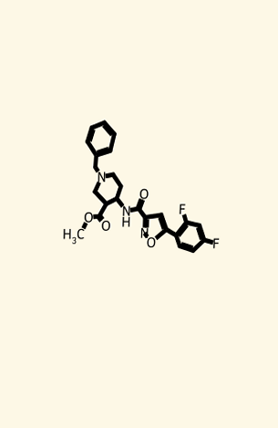 COC(=O)C1CN(Cc2ccccc2)CCC1NC(=O)c1cc(-c2ccc(F)cc2F)on1